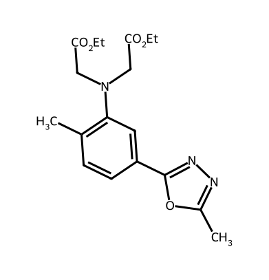 CCOC(=O)CN(CC(=O)OCC)c1cc(-c2nnc(C)o2)ccc1C